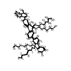 CCCCCCCCC1(CCCCCCCC)c2cc(C)ccc2-c2ccc(-c3ccc4c(c3)C(CCCCCCCC)(CCCCCCCC)c3cc(-c5ccc(C)c6nsnc56)ccc3-4)cc21